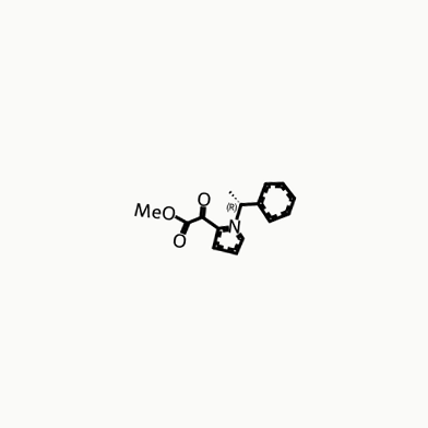 COC(=O)C(=O)c1cccn1[C@H](C)c1ccccc1